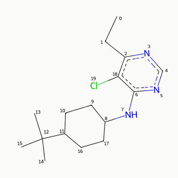 CCc1ncnc(NC2CCC(C(C)(C)C)CC2)c1Cl